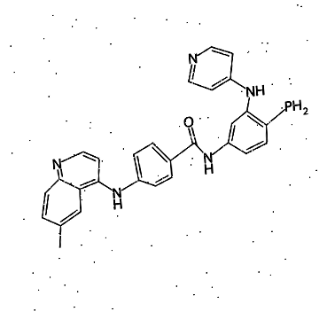 Cc1ccc2nccc(Nc3ccc(C(=O)Nc4ccc(P)c(Nc5ccncc5)c4)cc3)c2c1